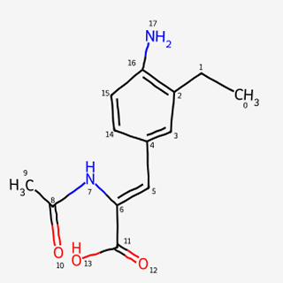 CCc1cc(/C=C(\NC(C)=O)C(=O)O)ccc1N